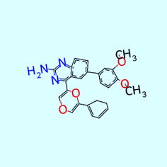 COc1ccc(-c2ccc3nc(N)nc(C4=COC=C(C5=CC=CCC5)O4)c3c2)cc1OC